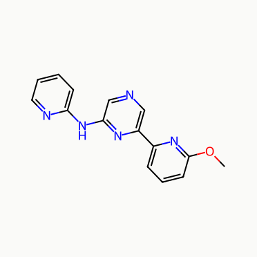 COc1cccc(-c2cncc(Nc3ccccn3)n2)n1